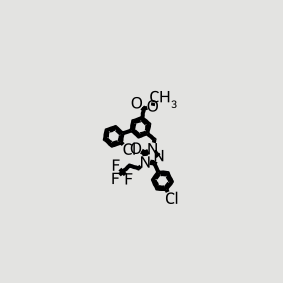 COC(=O)c1cc(Cn2nc(-c3ccc(Cl)cc3)n(CCC(F)(F)F)c2=O)cc(-c2ccccc2Cl)c1